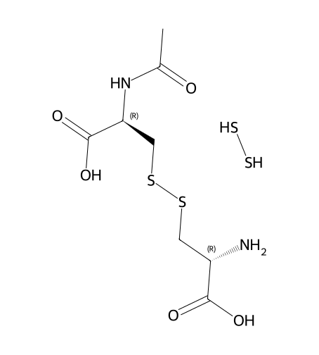 CC(=O)N[C@@H](CSSC[C@H](N)C(=O)O)C(=O)O.SS